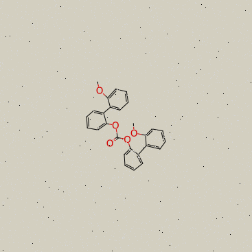 COc1ccccc1-c1ccccc1OC(=O)Oc1ccccc1-c1ccccc1OC